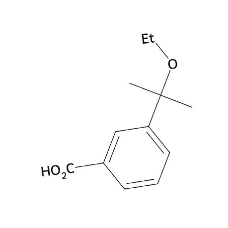 CCOC(C)(C)c1cccc(C(=O)O)c1